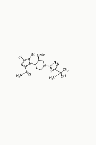 CCc1c(Cl)nc(C(N)=O)n1[C@@H]1CCN(c2nnc(C(C)(C)O)s2)C[C@@H]1OC